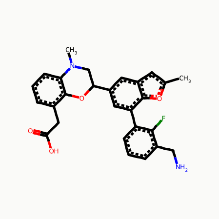 Cc1cc2cc(C3CN(C)c4cccc(CC(=O)O)c4O3)cc(-c3cccc(CN)c3F)c2o1